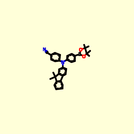 CC1(C)c2ccccc2-c2ccc(N(c3ccc(C#N)cc3)c3ccc(B4OC(C)(C)C(C)(C)O4)cc3)cc21